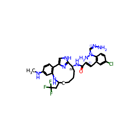 CNc1ccc2c(c1)NC(CC(F)(F)F)CCCC[C@H](NC(=O)/C=C/c1cc(Cl)ccc1N(N)/C=N\N)c1nc-2c[nH]1